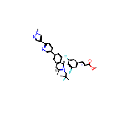 COC(=O)/C=C/c1cc(F)c([C@H]2c3ccc(-c4ccc(-c5cnn(C)c5)nc4)cc3C[C@H](C)N2CC(C)(C)F)c(F)c1